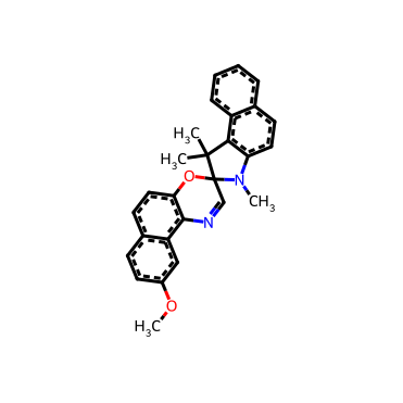 COc1ccc2ccc3c(c2c1)N=CC1(O3)N(C)c2ccc3ccccc3c2C1(C)C